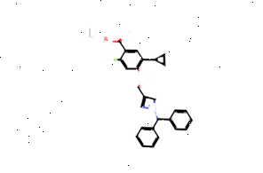 CC(C)(C)OC(=O)c1cc(C2CC2)c(OCC2=CN(C(c3ccccc3)c3ccccc3)C2)cc1F